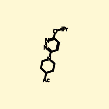 CC(=O)C1CCN(c2ccc(OC(C)C)nn2)CC1